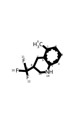 Cc1cccc2c1CC(C(F)(F)F)CN2